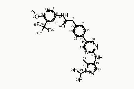 COc1ncc(NC(=O)Cc2ccc(-c3cnc(Nc4cnn(C(F)F)c4C)nc3)cc2)cc1C(F)(F)F